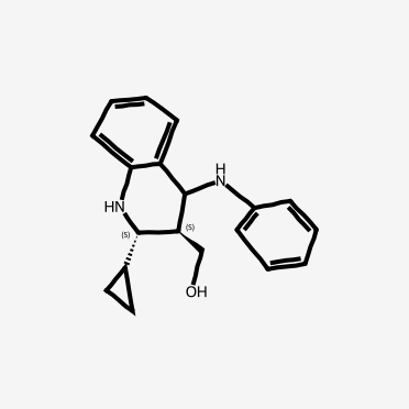 OC[C@@H]1C(Nc2ccccc2)c2ccccc2N[C@H]1C1CC1